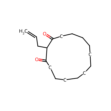 C=CCC1C(=O)CCCCCCCCCCCC1=O